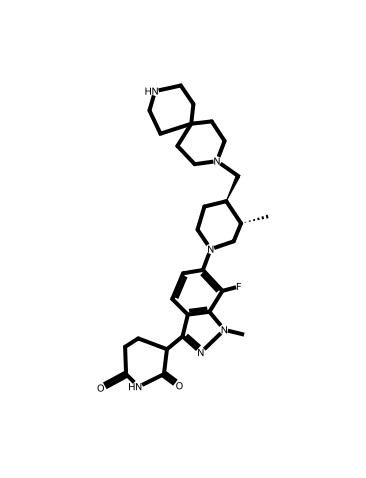 C[C@@H]1CN(c2ccc3c(C4CCC(=O)NC4=O)nn(C)c3c2F)CC[C@H]1CN1CCC2(CCNCC2)CC1